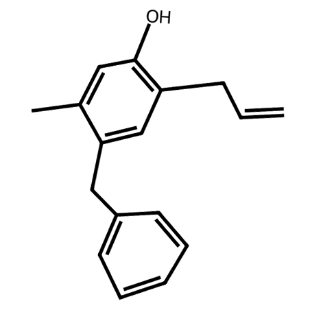 C=CCc1cc(Cc2ccccc2)c(C)cc1O